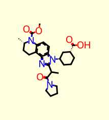 COC(=O)N1c2ccc3c(nc(C(C)C(=O)N4CCCC4)n3[C@@H]3CCC[C@@H](C(=O)O)C3)c2CC[C@@H]1C